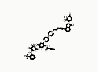 CC#CC(=O)Nc1cc(Nc2ncc(Cl)c(Nc3ccccc3P(C)(C)=O)n2)c(OC)cc1N1CCC(N2CCN(CCCC#Cc3cccc4c3CN(C3CCC(=O)NC3=O)C4=O)CC2)CC1